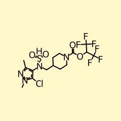 Cc1nn(C)c(Cl)c1N(CC1CCN(C(=O)OC(C(F)(F)F)C(F)(F)F)CC1)[SH](=O)=O